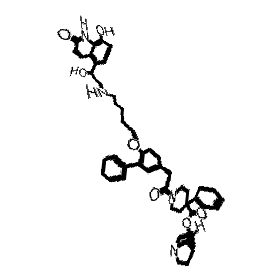 O=C(Cc1ccc(OCCCCCNCC(O)c2ccc(O)c3[nH]c(=O)ccc23)c(-c2ccccc2)c1)N1CCC(C(=O)O[C@H]2CN3CCC2CC3)(c2ccccc2)CC1